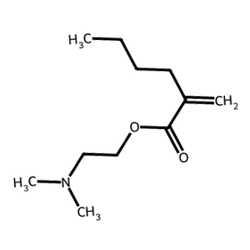 C=C(CCCC)C(=O)OCCN(C)C